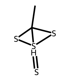 CC12S[SH]1(=S)S2